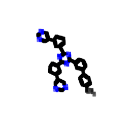 Cc1ccc(-c2cccc(-c3nc(-c4cccc(-c5cncnc5)c4)nc(-c4cccc(-c5cncnc5)c4)n3)c2)cc1